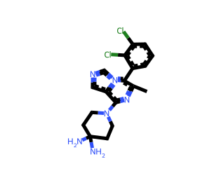 Cc1nc(N2CCC(N)(N)CC2)c2cncn2c1-c1cccc(Cl)c1Cl